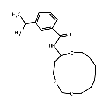 CC(C)c1cccc(C(=O)NC2CCCCCCCCCCCC2)c1